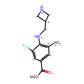 COC(=O)c1cc(F)c(NCC2CNC2)c([N+](=O)[O-])c1